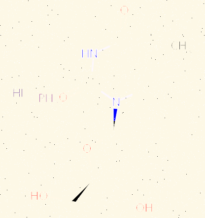 Cc1cn([C@H]2C[C@H](O)[C@@H](CO)O2)c(=O)[nH]c1=O.I.P